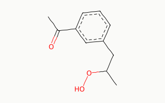 CC(=O)c1cccc(CC(C)OO)c1